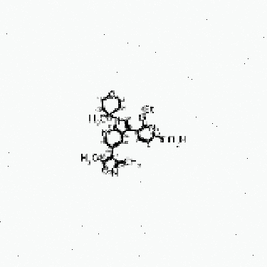 CCOc1nc(C(=O)O)ccc1-c1cn(C2(C)CCOCC2)c2ncc(-c3c(C)noc3C)cc12